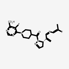 C=C(/C=N\C=C(/C)F)[C@@H]1CC=NN1C(=O)C1CCN(c2ncnc(C(=O)O)c2F)CC1